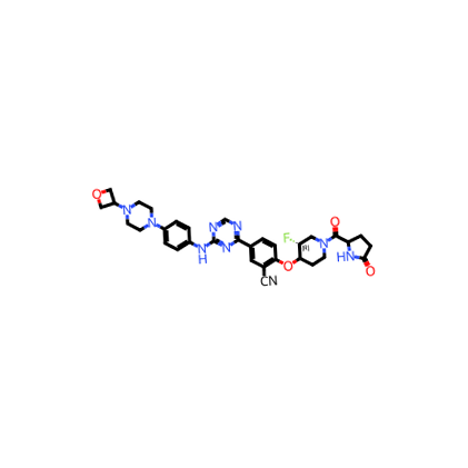 N#Cc1cc(-c2ncnc(Nc3ccc(N4CCN(C5COC5)CC4)cc3)n2)ccc1OC1CCN(C(=O)C2CCC(=O)N2)C[C@H]1F